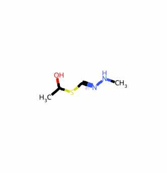 CN/N=C/SC(C)O